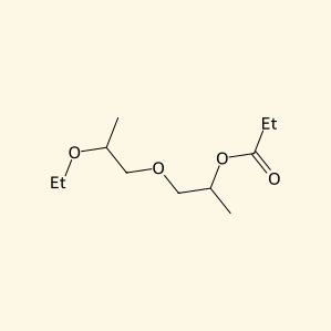 CCOC(C)COCC(C)OC(=O)CC